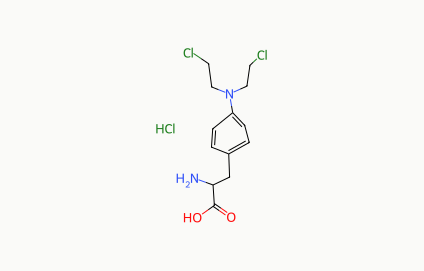 Cl.NC(Cc1ccc(N(CCCl)CCCl)cc1)C(=O)O